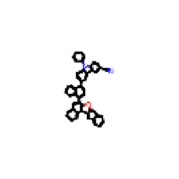 N#Cc1ccc2c(c1)c1cc(-c3ccc(-c4cc5ccccc5c5c4oc4cc6ccccc6cc45)c4ccccc34)ccc1n2-c1ccccc1